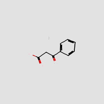 O=C([O-])CC(=O)c1ccccc1.[K+]